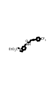 CCOC(=O)Cn1ccc2ccc(CNC(=O)CCC#Cc3ccc(C(F)(F)F)cc3)cc21